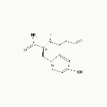 C=CCCN(C)[C@@H](Cc1ccc(O)cc1)C(N)=O